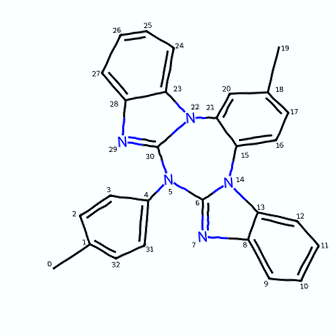 Cc1ccc(-n2c3nc4ccccc4n3c3ccc(C)cc3n3c4ccccc4nc23)cc1